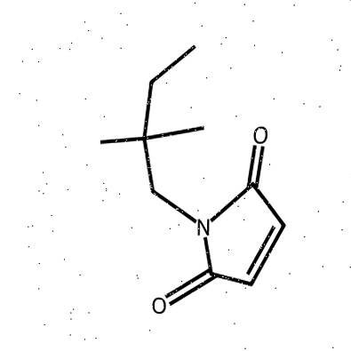 CCC(C)(C)CN1C(=O)C=CC1=O